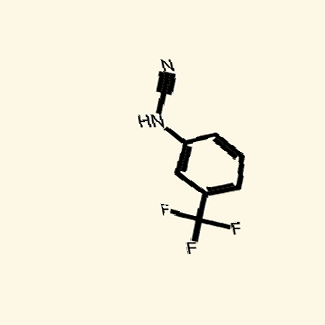 N#CNc1cccc(C(F)(F)F)c1